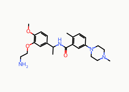 COc1ccc(C(C)NC(=O)c2cc(N3CCN(C)CC3)ccc2C)cc1OCCN